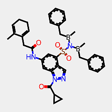 CB(Cc1ccccc1)N(B(C)Cc1ccccc1)S(=O)(=O)c1cc(NC(=O)CC2=CCCC=C2C)cc2c1cnn2C(=O)C1CC1